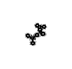 CC1(c2ccccc2)c2ccccc2-c2cc3c(cc21)c1ccccc1n3-c1ccc(-c2nc(-c3ccccc3)nc(-c3ccccc3)n2)cc1